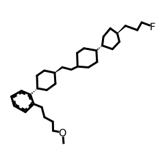 COCCCCc1ccccc1[C@H]1CC[C@H](CCC2CCC([C@H]3CC[C@H](CCCF)CC3)CC2)CC1